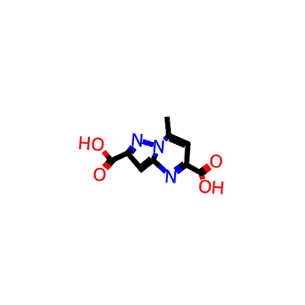 Cc1cc(C(=O)O)nc2cc(C(=O)O)nn12